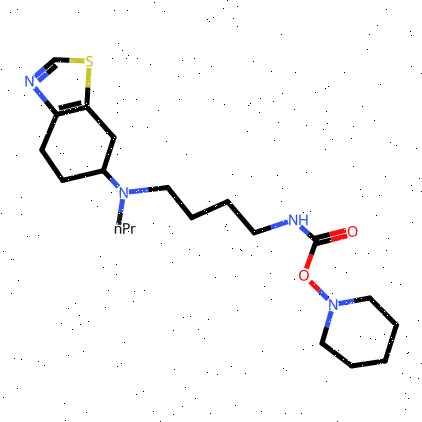 CCCN(CCCCNC(=O)ON1CCCCC1)C1CCc2ncsc2C1